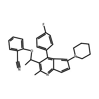 Cc1nc2ccc(N3CCCCC3)cc2c(-c2ccc(F)cc2)c1C(C)Oc1ccccc1C#N